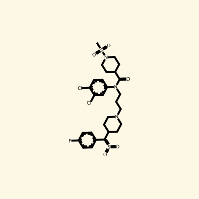 CS(=O)(=O)N1CCC(C(=O)N(CCCN2CCC(C(c3ccc(F)cc3)=S(=O)=O)CC2)c2ccc(Cl)c(Cl)c2)CC1